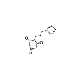 O=C1CNCC(=O)N1CCCc1ccccc1